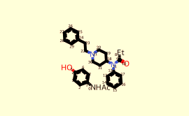 CC(=O)Nc1ccc(O)cc1.CCC(=O)N(c1ccccc1)C1CCN(CCc2ccccc2)CC1